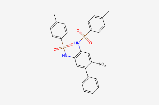 Cc1ccc(S(=O)(=O)Nc2cc(-c3ccccc3)c([N+](=O)[O-])cc2NS(=O)(=O)c2ccc(C)cc2)cc1